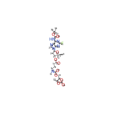 C#C[C@@]1(COC(=O)CCCN(C)C(=O)OCc2oc(=O)oc2C)CC[C@H](n2cnc3c(NC(=O)OC(C)(C)C)nc(F)nc32)O1